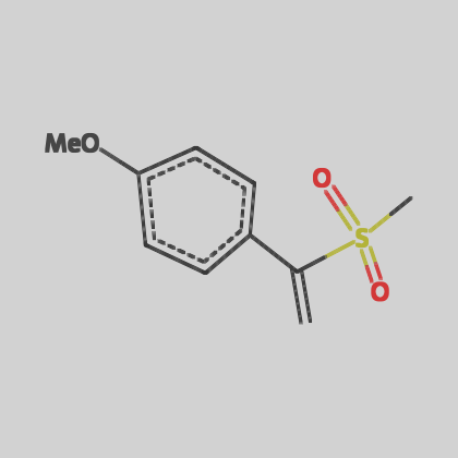 C=C(c1ccc(OC)cc1)S(C)(=O)=O